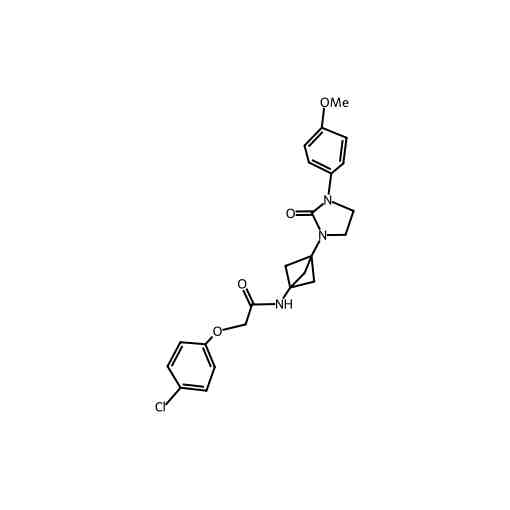 COc1ccc(N2CCN(C34CC(NC(=O)COc5ccc(Cl)cc5)(C3)C4)C2=O)cc1